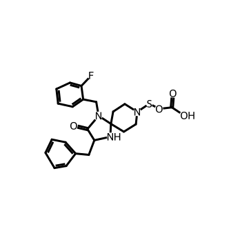 O=C(O)OSN1CCC2(CC1)NC(Cc1ccccc1)C(=O)N2Cc1ccccc1F